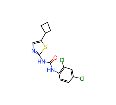 O=C(Nc1ncc(C2CCC2)s1)Nc1ccc(Cl)cc1Cl